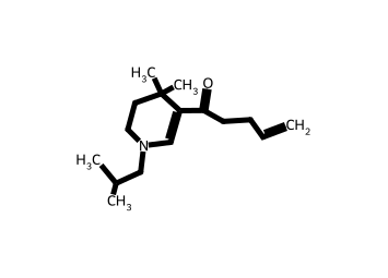 C=CCCC(=O)C1=CN(CC(C)C)CCC1(C)C